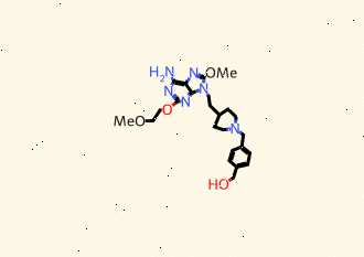 COCCOc1nc(N)c2nc(OC)n(CCC3CCN(Cc4ccc(CO)cc4)CC3)c2n1